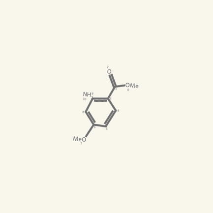 COC(=O)c1ccc(OC)cc1.N